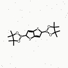 CC1(C)OB(C2C=C3SC(B4OC(C)(C)C(C)(C)O4)C=C3S2)OC1(C)C